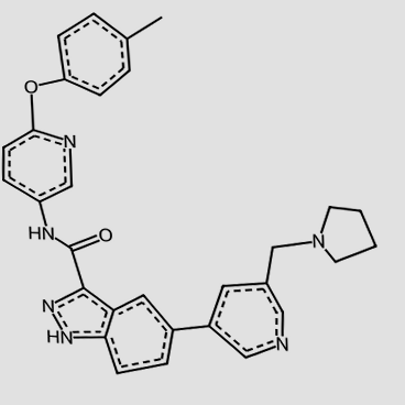 Cc1ccc(Oc2ccc(NC(=O)c3n[nH]c4ccc(-c5cncc(CN6CCCC6)c5)cc34)cn2)cc1